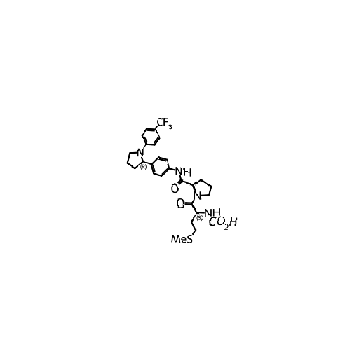 CSCC[C@H](NC(=O)O)C(=O)N1CCCC1C(=O)Nc1ccc([C@H]2CCCN2c2ccc(C(F)(F)F)cc2)cc1